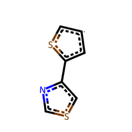 [c]1csc(-c2cscn2)c1